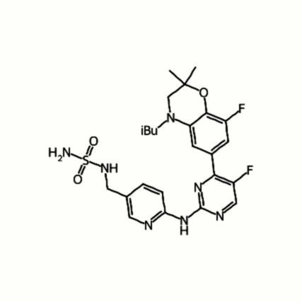 CCC(C)N1CC(C)(C)Oc2c(F)cc(-c3nc(Nc4ccc(CNS(N)(=O)=O)cn4)ncc3F)cc21